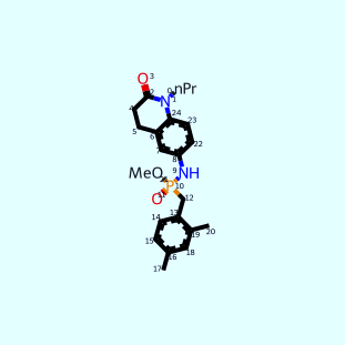 CCCN1C(=O)CCc2cc(NP(=O)(Cc3ccc(C)cc3C)OC)ccc21